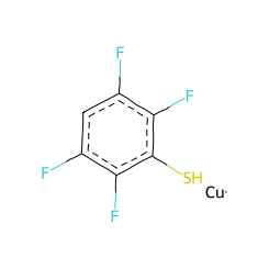 Fc1cc(F)c(F)c(S)c1F.[Cu]